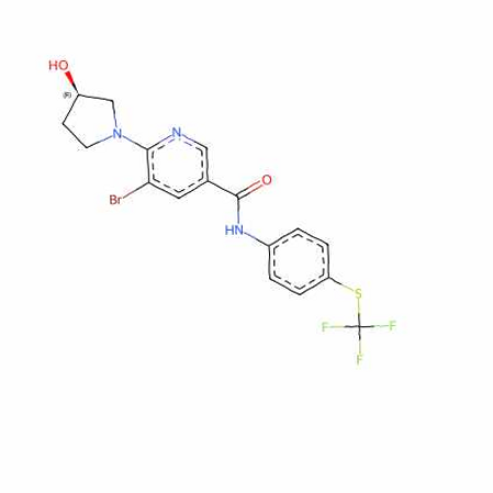 O=C(Nc1ccc(SC(F)(F)F)cc1)c1cnc(N2CC[C@@H](O)C2)c(Br)c1